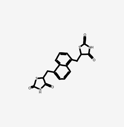 O=C1NC(=O)C(Cc2cccc3c(CC4SC(=O)NC4=O)cccc23)S1